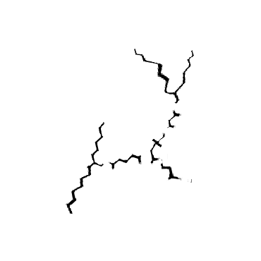 CCCCCCCCC(CCCCCC)COC(=O)CCCC(=O)O[C@@H](C(=O)NCCC(=O)O)C(C)(C)COC(=O)CC(=O)OCC(CCCCCC)CCCCCCCC